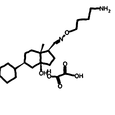 C[C@]12CC[C@H](C3CCCCC3)C[C@@]1(O)CC[C@@H]2C=NOCCCCN.O=C(O)C(=O)O